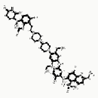 CCOc1cc(N2CCC(N3CCN(CCc4c(F)ccc(N(C)C5CCC(=O)NC5=O)c4OC=O)CC3)CC2)c(CC)cc1Nc1ncc(Br)c(Nc2cc(F)c3nc(CC)ccc3c2P(C)(C)=O)n1